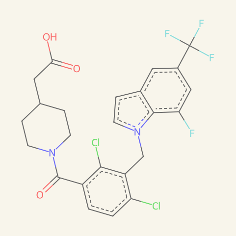 O=C(O)CC1CCN(C(=O)c2ccc(Cl)c(Cn3ccc4cc(C(F)(F)F)cc(F)c43)c2Cl)CC1